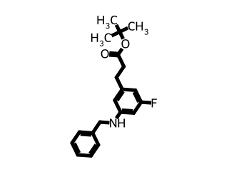 CC(C)(C)OC(=O)CCc1cc(F)cc(NCc2ccccc2)c1